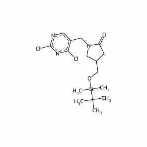 CC(C)(C)[Si](C)(C)OCC1CC(=O)N(Cc2cnc(Cl)nc2Cl)C1